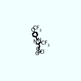 O=S(Cl)OCc1cnc(-c2ccc(OC(F)(F)F)cc2)nc1C(F)(F)F